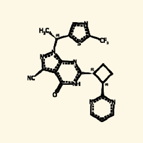 C[C@H](c1cnc(C(F)(F)F)s1)n1nc(C#N)c2c(=O)[nH]c([C@@H]3CC[C@H]3c3ncccn3)nc21